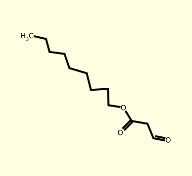 CCCCCCCCCOC(=O)CC=O